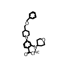 CC(=O)N(c1cc(N2CCC(COCc3ccccc3)CC2)ccc1C(=O)Cl)C1CCOCC1